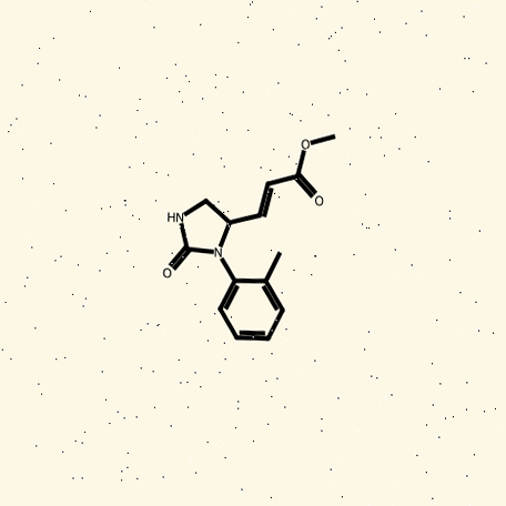 COC(=O)C=CC1CNC(=O)N1c1ccccc1C